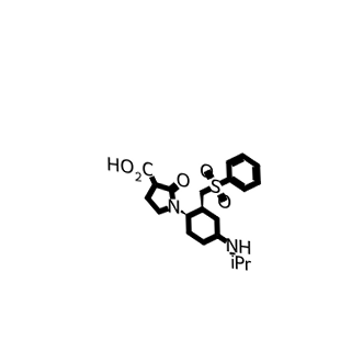 CC(C)NC1CC[C@H](N2CCC(C(=O)O)C2=O)[C@@H](CS(=O)(=O)c2ccccc2)C1